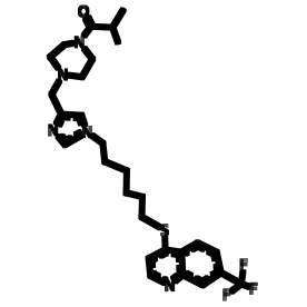 CC(C)C(=O)N1CCN(Cc2cn(CCCCCCSc3ccnc4cc(C(F)(F)F)ccc34)cn2)CC1